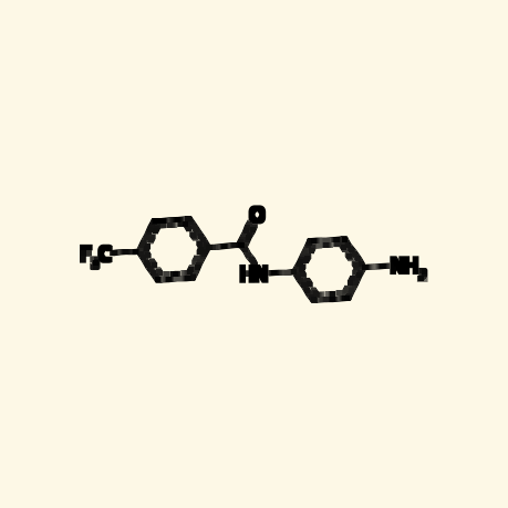 Nc1ccc(NC(=O)c2ccc(C(F)(F)F)cc2)cc1